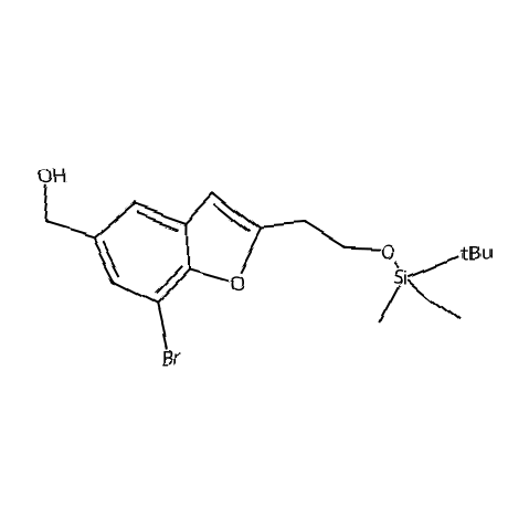 CC(C)(C)[Si](C)(C)OCCc1cc2cc(CO)cc(Br)c2o1